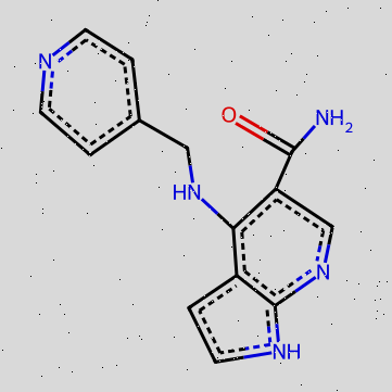 NC(=O)c1cnc2[nH]ccc2c1NCc1ccncc1